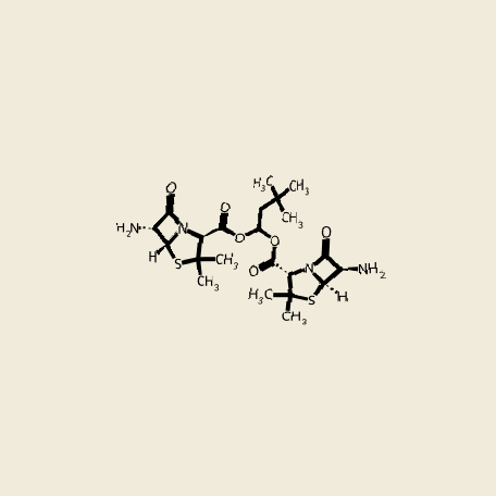 CC(C)(C)CC(OC(=O)[C@@H]1N2C(=O)[C@@H](N)[C@H]2SC1(C)C)OC(=O)[C@@H]1N2C(=O)[C@@H](N)[C@H]2SC1(C)C